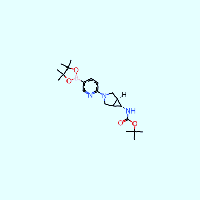 CC(C)(C)OC(=O)N[C@@H]1C2CN(c3ccc(B4OC(C)(C)C(C)(C)O4)cn3)C[C@H]21